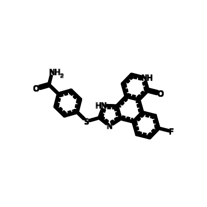 NC(=O)c1ccc(Sc2nc3c4ccc(F)cc4c4c(=O)[nH]ccc4c3[nH]2)cc1